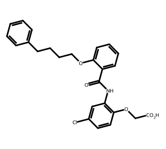 O=C(O)COc1ccc(Cl)cc1NC(=O)c1ccccc1OCCCCc1ccccc1